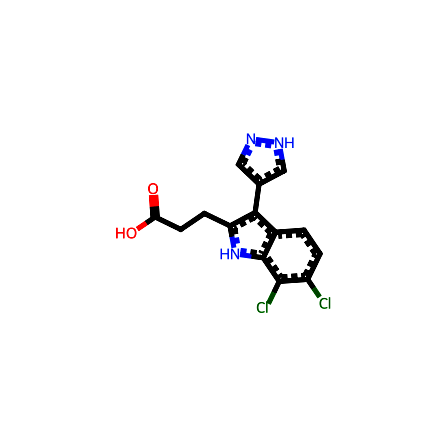 O=C(O)CCc1[nH]c2c(Cl)c(Cl)ccc2c1-c1cn[nH]c1